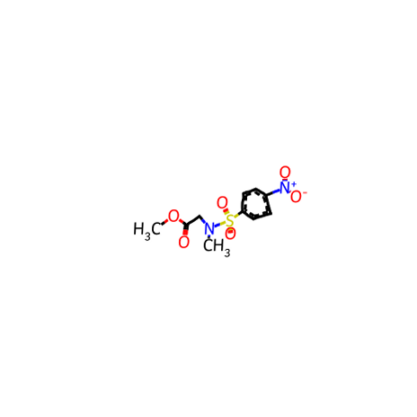 COC(=O)CN(C)S(=O)(=O)c1ccc([N+](=O)[O-])cc1